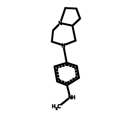 CNc1ccc(N2CCN3CCCC3C2)cc1